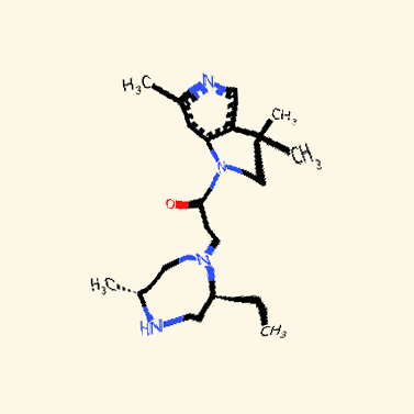 CC[C@H]1CN[C@H](C)CN1CC(=O)N1CC(C)(C)c2cnc(C)cc21